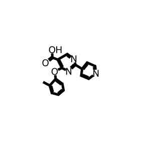 Cc1ccccc1Oc1nc(-c2ccncc2)ncc1C(=O)O